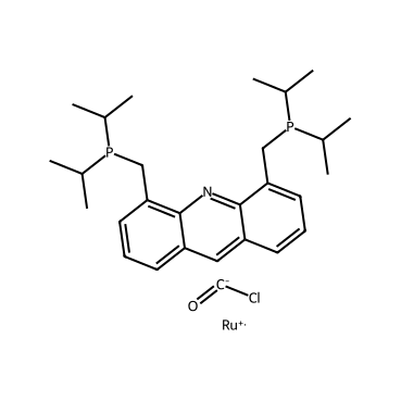 CC(C)P(Cc1cccc2cc3cccc(CP(C(C)C)C(C)C)c3nc12)C(C)C.O=[C-]Cl.[Ru+]